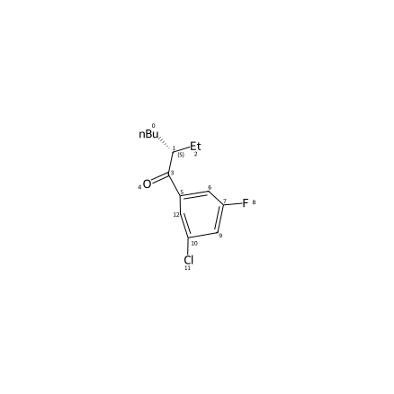 CCCC[C@H](CC)C(=O)c1cc(F)cc(Cl)c1